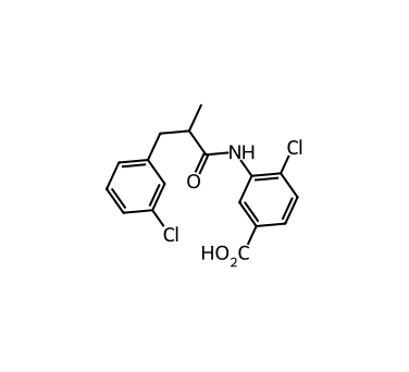 CC(Cc1cccc(Cl)c1)C(=O)Nc1cc(C(=O)O)ccc1Cl